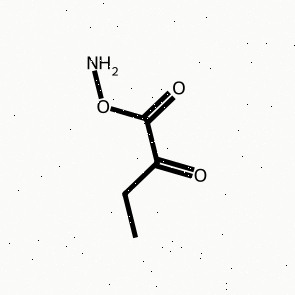 CCC(=O)C(=O)ON